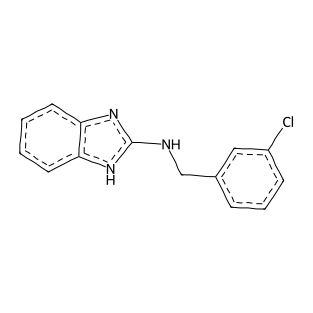 Clc1cccc(CNc2nc3ccccc3[nH]2)c1